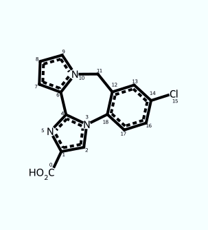 O=C(O)c1cn2c(n1)-c1cccn1Cc1cc(Cl)ccc1-2